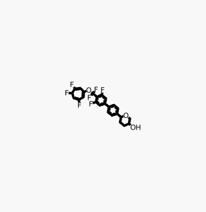 OC1CCC(c2ccc(-c3cc(F)c(C(F)(F)OC4=CC(F)=CC(F)C(F)=C4)c(F)c3)cc2)OC1